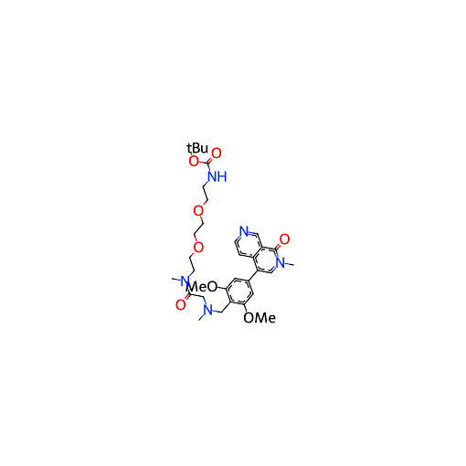 COc1cc(-c2cn(C)c(=O)c3cnccc23)cc(OC)c1CN(C)CC(=O)N(C)CCOCCOCCNC(=O)OC(C)(C)C